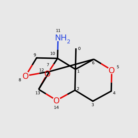 CC12C3CCOC1C1OCC2(N)OC1O3